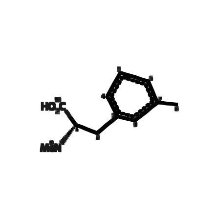 CN[C@@H](Cc1cccc(C)c1)C(=O)O